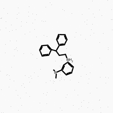 [BiH2][CH2]CC(c1ccccc1)c1ccccc1.[CH3][Bi]([CH3])[c]1ccccc1